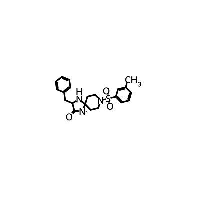 Cc1cccc(S(=O)(=O)N2CCC3(CC2)[N]C(=O)C(Cc2ccccc2)N3)c1